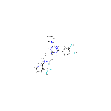 Fc1ccc(-c2nc(N3CCCC3)nc(N3CCN(c4ncccc4C(F)(F)F)CC3)n2)cc1F